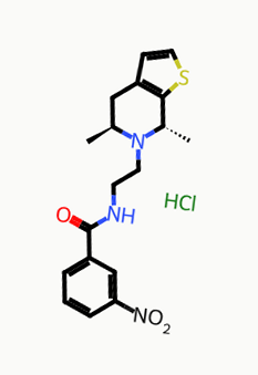 C[C@H]1Cc2ccsc2[C@H](C)N1CCNC(=O)c1cccc([N+](=O)[O-])c1.Cl